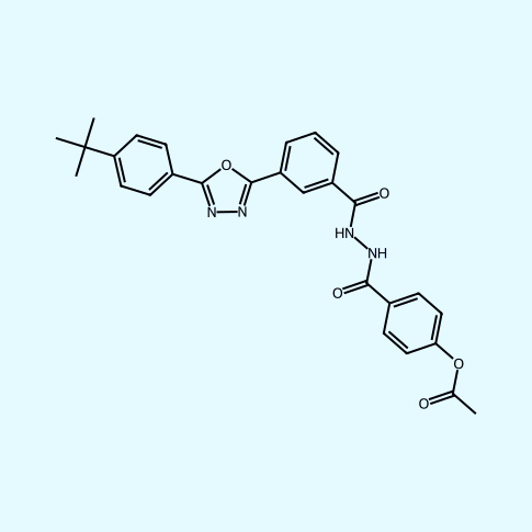 CC(=O)Oc1ccc(C(=O)NNC(=O)c2cccc(-c3nnc(-c4ccc(C(C)(C)C)cc4)o3)c2)cc1